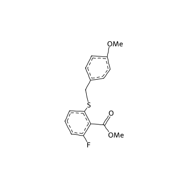 COC(=O)c1c(F)cccc1SCc1ccc(OC)cc1